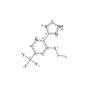 CCSc1cc(C(F)(F)F)cnc1-c1nc[nH]n1